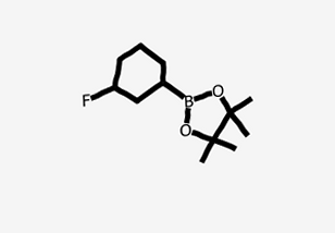 CC1(C)OB(C2CCCC(F)C2)OC1(C)C